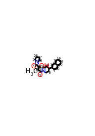 C[C@@H](C(=O)N1CCC(c2ccc3ccccc3c2)CC1)[C@@H](O)C(=O)N1CCCC1